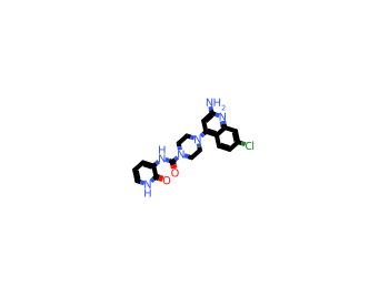 Nc1cc(N2CCN(C(=O)Nc3ccc[nH]c3=O)CC2)c2ccc(Cl)cc2n1